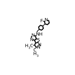 Cc1nnc2sc3c(NCc4ccc(-c5cccnc5F)cc4)ncnc3c2c1C